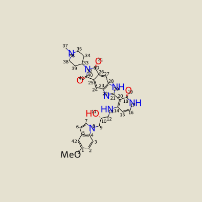 COc1ccc2c(ccn2C[C@H](O)CNc2cc[nH]c(=O)c2-c2nc3cc4c(cc3[nH]2)C(=O)N(C2CCN(C)CC2)C4=O)c1